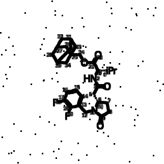 CC(C)[C@H](NC(=O)C[C@@H]1CCC(=O)N1Cc1cccc(F)c1F)C(=O)OCC12CC3CC(CC(C3)C1)C2